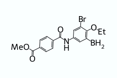 Bc1cc(NC(=O)c2ccc(C(=O)OC)cc2)cc(Br)c1OCC